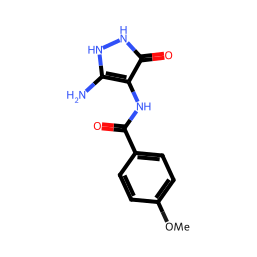 COc1ccc(C(=O)Nc2c(N)[nH][nH]c2=O)cc1